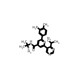 Cc1ccc(-c2cc(C(=O)NC(C)(C)C)cc(-c3cncnc3C(C)C)n2)cc1P